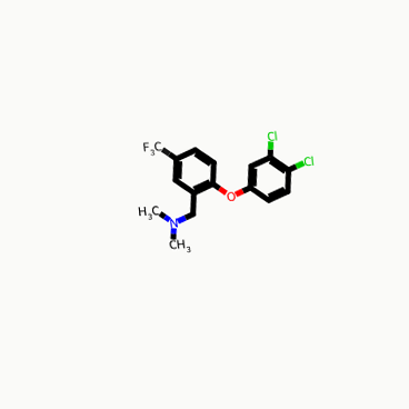 CN(C)Cc1cc(C(F)(F)F)ccc1Oc1ccc(Cl)c(Cl)c1